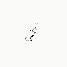 CCc1ccc(C#Cc2ncc(N=C=S)cc2F)cc1